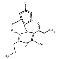 COCC1=C(C)C(c2ccc(F)cc2Cl)C(C(=O)OC)=C(C)N1